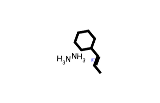 C/C=C/C1CCCCC1.N.N